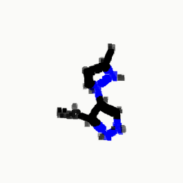 COC1=N[N]C=C1n1ccc(C)n1